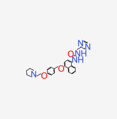 O=C(NCc1cnccn1)Nc1ccc(OCc2ccc(OCCN3CCCCC3)cc2)c2ccccc12